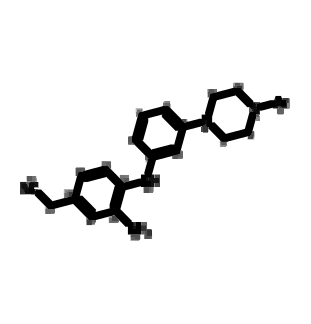 CC(=O)N1CCN(c2cccc(Nc3ccc(CC#N)cc3N)c2)CC1